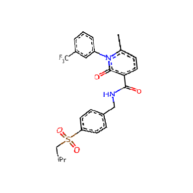 Cc1ccc(C(=O)NCc2ccc(S(=O)(=O)CC(C)C)cc2)c(=O)n1-c1cccc(C(F)(F)F)c1